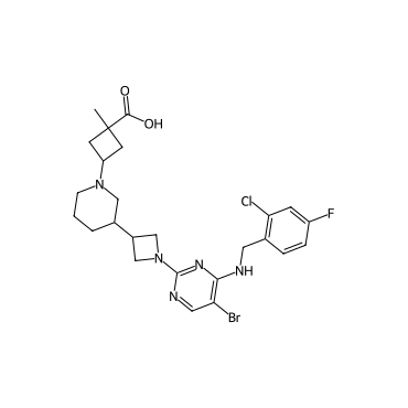 CC1(C(=O)O)CC(N2CCCC(C3CN(c4ncc(Br)c(NCc5ccc(F)cc5Cl)n4)C3)C2)C1